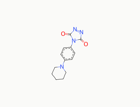 O=C1N=NC(=O)N1c1ccc(N2CCCCC2)cc1